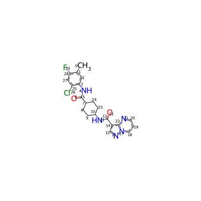 Cc1cc(NC(=O)C2CCC(NC(=O)c3cnn4cccnc34)CC2)c(Cl)cc1F